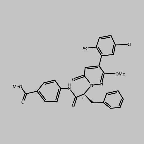 COC(=O)c1ccc(NC(=O)[C@H](Cc2ccccc2)n2nc(OC)c(-c3cc(Cl)ccc3C(C)=O)cc2=O)cc1